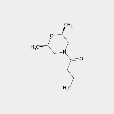 CCCC(=O)N1C[C@@H](C)O[C@@H](C)C1